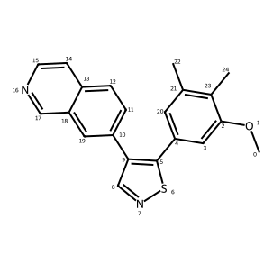 COc1cc(-c2sncc2-c2ccc3ccncc3c2)cc(C)c1C